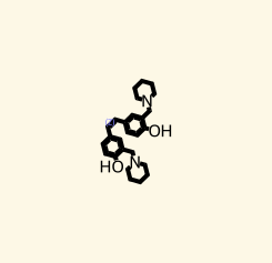 Oc1ccc(/C=C\c2ccc(O)c(CN3CCCCC3)c2)cc1CN1CCCCC1